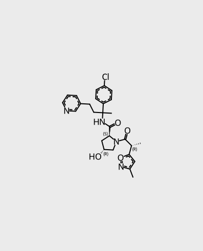 Cc1cc([C@@H](C)C(=O)N2C[C@H](O)C[C@H]2C(=O)NC(C)(CCc2cccnc2)c2ccc(Cl)cc2)on1